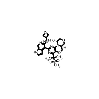 C[C@@H]1COC[C@H]2COc3c(nc(-c4c(NC5COC5)ncc5[nH]ccc45)nc3C(C)(C)S(C)(=O)=O)N21